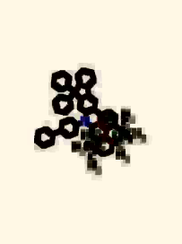 Cc1cc2c(cc1N(c1ccc(-c3ccccc3)cc1)c1cc3c(cc1-c1ccc4c(c1)C(C)(C)CCC4(C)C)-c1ccccc1C3(c1ccccc1)c1ccccc1)C(C)(C)CCC2(C)C